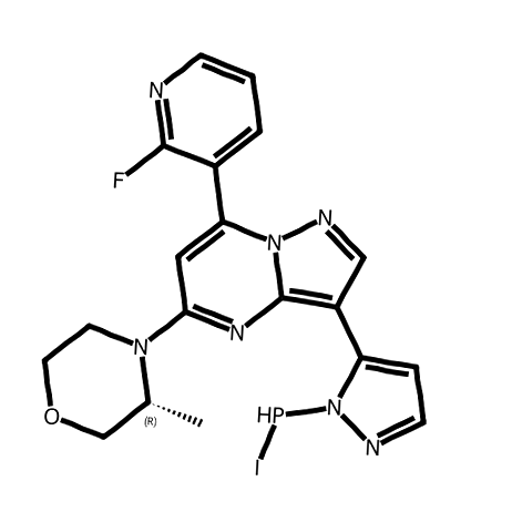 C[C@@H]1COCCN1c1cc(-c2cccnc2F)n2ncc(-c3ccnn3PI)c2n1